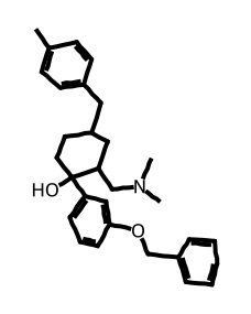 Cc1ccc(CC2CCC(O)(c3cccc(OCc4ccccc4)c3)C(CN(C)C)C2)cc1